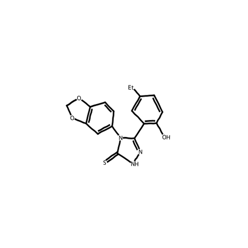 CCc1ccc(O)c(-c2n[nH]c(=S)n2-c2ccc3c(c2)OCO3)c1